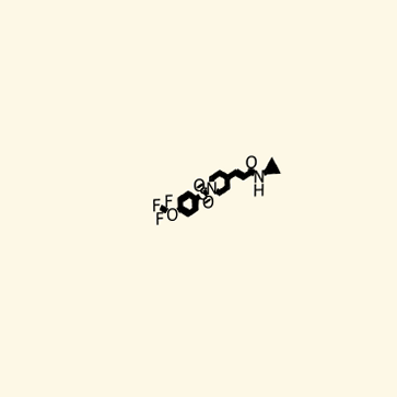 O=C(C=CC1CCN(S(=O)(=O)c2ccc(OC(F)(F)F)cc2)CC1)NC1CC1